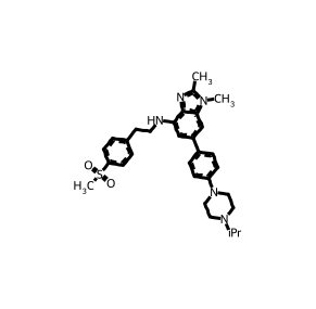 Cc1nc2c(NCCc3ccc(S(C)(=O)=O)cc3)cc(-c3ccc(N4CCN(C(C)C)CC4)cc3)cc2n1C